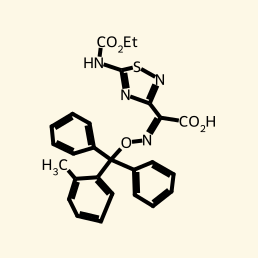 CCOC(=O)Nc1nc(C(=NOC(c2ccccc2)(c2ccccc2)c2ccccc2C)C(=O)O)ns1